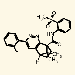 CC1(C)[C@@H]2CC[C@@]1(C(=O)Nc1ccccc1S(C)(=O)=O)c1nnc(-c3ccccc3F)cc12